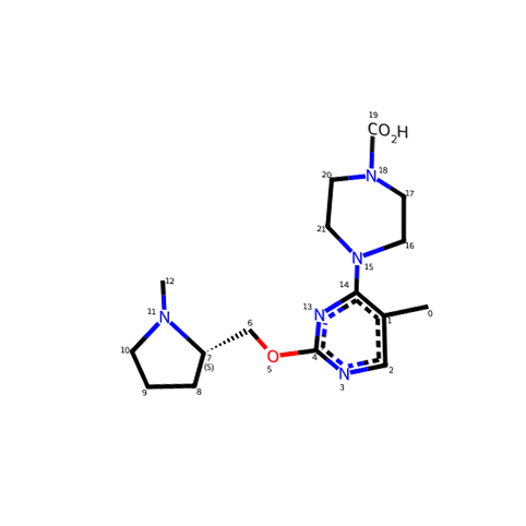 Cc1cnc(OC[C@@H]2CCCN2C)nc1N1CCN(C(=O)O)CC1